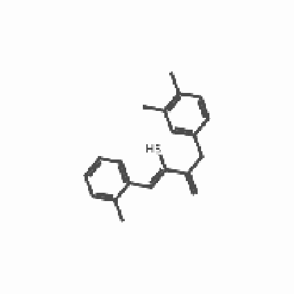 C=C(Cc1ccc(C)c(C)c1)/C(S)=C/c1ccccc1C